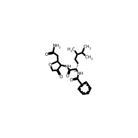 CC(C)C(C)CC[C@H](NC(=O)c1ccccc1)C(=O)NC1C(=O)COC1CC(N)=O